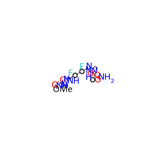 COC(=O)N[C@@H](C)C(=O)N1CCC[C@H]1c1ncc(-c2ccc(-c3ccc(-c4cnc([C@@H]5CCCN5C(=O)[C@H](OC(N)=O)c5ccccc5)[nH]4)c(F)c3)cc2F)[nH]1